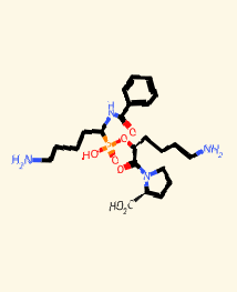 NCCCCC(NC(=O)c1ccccc1)P(=O)(O)O[C@@H](CCCCN)C(=O)N1CCC[C@H]1C(=O)O